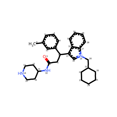 Cc1cccc(C(CC(=O)NC2CCNCC2)c2cn(CC3CCCCC3)c3ccccc23)c1